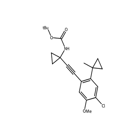 COc1cc(C#CC2(NC(=O)OC(C)(C)C)CC2)c(C2(C)CC2)cc1Cl